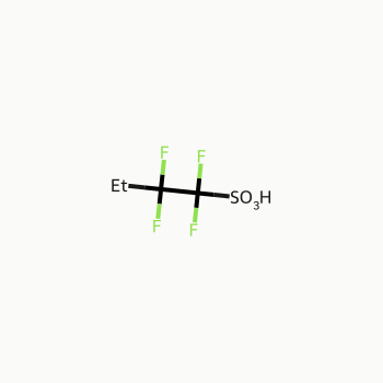 CCC(F)(F)C(F)(F)S(=O)(=O)O